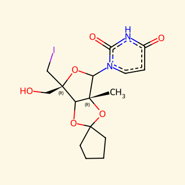 C[C@@]12OC3(CCCC3)OC1[C@](CO)(CI)OC2n1ccc(=O)[nH]c1=O